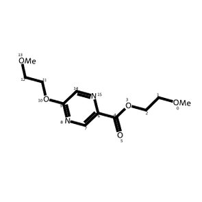 COCCOC(=O)c1cnc(OCCOC)cn1